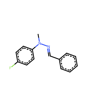 CN(/N=C/c1ccccc1)c1ccc(F)cc1